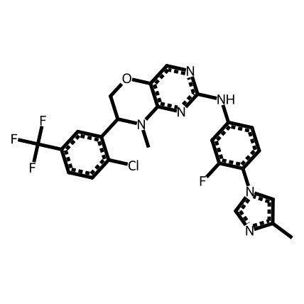 Cc1cn(-c2ccc(Nc3ncc4c(n3)N(C)C(c3cc(C(F)(F)F)ccc3Cl)CO4)cc2F)cn1